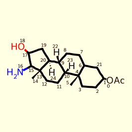 CC(=O)OC1CC[C@@]2(C)C(CC[C@@H]3[C@H]2CC[C@]2(C)C(N)C(O)C[C@@H]32)C1